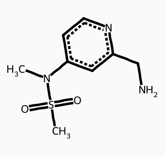 CN(c1ccnc(CN)c1)S(C)(=O)=O